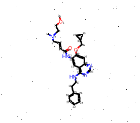 COCCN(C)CC=CC(=O)Nc1cc2c(NCCc3ccccc3)ncnc2cc1OCC1CC1